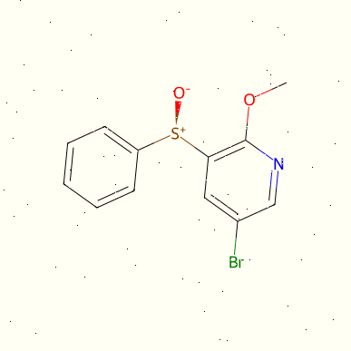 COc1ncc(Br)cc1[S@+]([O-])c1ccccc1